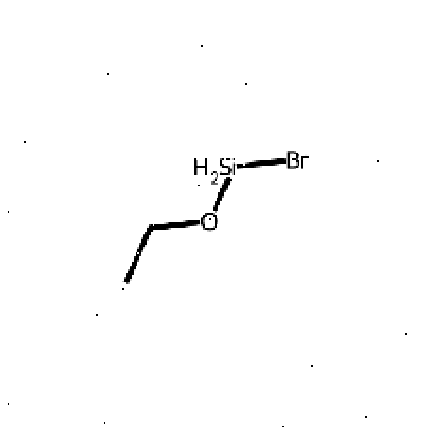 CCO[SiH2]Br